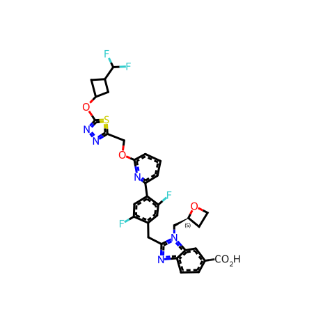 O=C(O)c1ccc2nc(Cc3cc(F)c(-c4cccc(OCc5nnc(OC6CC(C(F)F)C6)s5)n4)cc3F)n(C[C@@H]3CCO3)c2c1